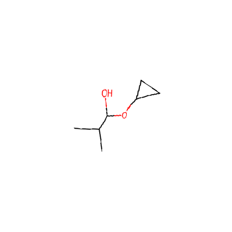 CC(C)C(O)OC1CC1